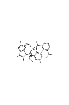 C=CCOc1c(-c2c(C(C)C)cccc2C(C)C)cc(C)cc1[Si](CC)(CC)C1C(C)=C(C)c2cc(C)sc21